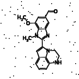 COc1cc(C=O)cc2nc(-c3cc4cccc5c4n3CCN5)n(C)c12